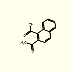 CC(=O)c1ccc2ccccc2c1C(=O)O